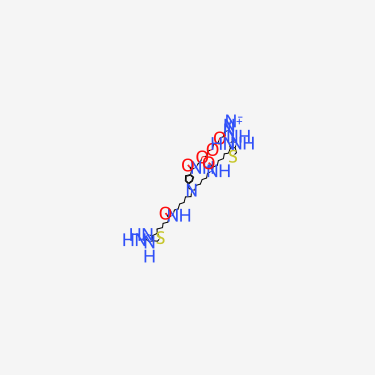 [N-]=[N+]=NCCOCCOCCOCCNC(=O)c1ccc(CN(CCCCCCNC(=O)CCCCC2SCC3NC(=N)NC32)CCCCCCNC(=O)CCCCC2SCC3NC(=N)NC32)cc1